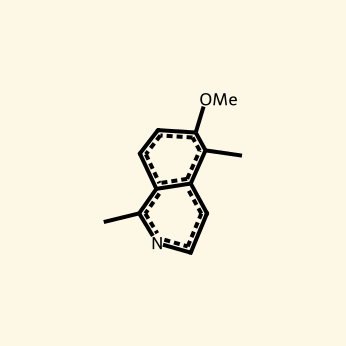 COc1ccc2c(C)nccc2c1C